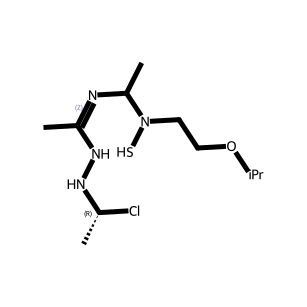 C/C(=N/C(C)N(S)CCOC(C)C)NN[C@@H](C)Cl